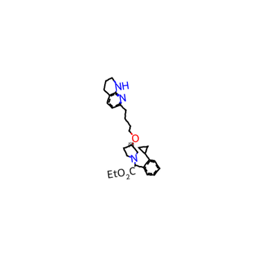 CCOC(=O)C(c1ccccc1C1CC1)N1CC[C@@H](OCCCCc2ccc3c(n2)NCCC3)C1